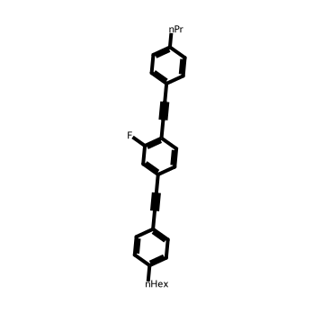 CCCCCCc1ccc(C#Cc2ccc(C#Cc3ccc(CCC)cc3)c(F)c2)cc1